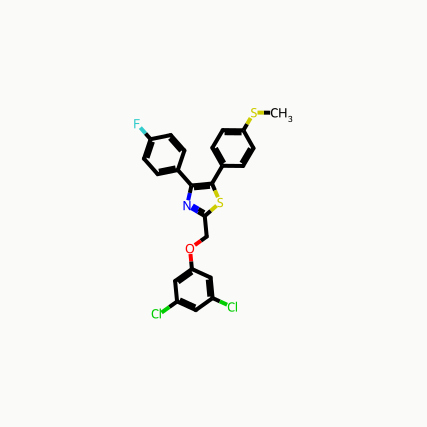 CSc1ccc(-c2sc(COc3cc(Cl)cc(Cl)c3)nc2-c2ccc(F)cc2)cc1